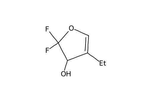 CCC1=COC(F)(F)C1O